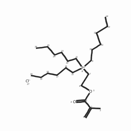 C=C(C)C(=O)OCC[P+](CCCCCC)(CCCCCC)CCCCCC.[Cl-]